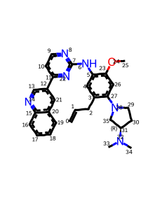 C=CCc1cc(Nc2nccc(-c3cnc4ccccc4c3)n2)c(OC)cc1N1CC[C@@H](N(C)C)C1